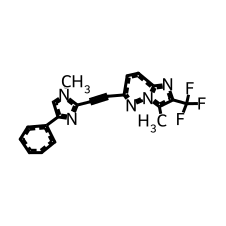 Cc1c(C(F)(F)F)nc2ccc(C#Cc3nc(-c4ccccc4)cn3C)nn12